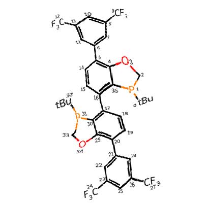 CC(C)(C)P1COc2c(-c3cc(C(F)(F)F)cc(C(F)(F)F)c3)ccc(-c3ccc(-c4cc(C(F)(F)F)cc(C(F)(F)F)c4)c4c3P(C(C)(C)C)CO4)c21